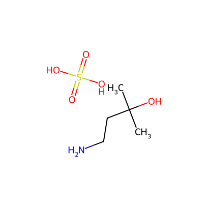 CC(C)(O)CCN.O=S(=O)(O)O